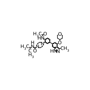 CC(=O)Nc1ccc(-c2cc(OC3CCOCC3)c3c(C)n[nH]c3c2)cc1N1CCN(C(=O)NC(C)C)CC1